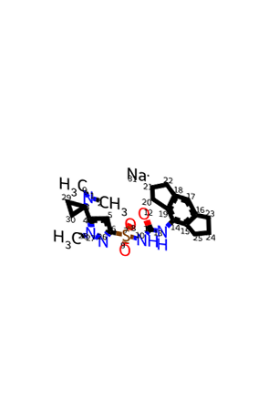 CN(C)C1(c2cc(S(=O)(=O)NC(=O)Nc3c4c(cc5c3CCC5)CCC4)nn2C)CC1.[Na]